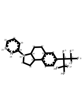 FC(F)(F)C(F)(c1ccc2c(c1)CCC1C2CCN1c1cccnn1)C(F)(F)F